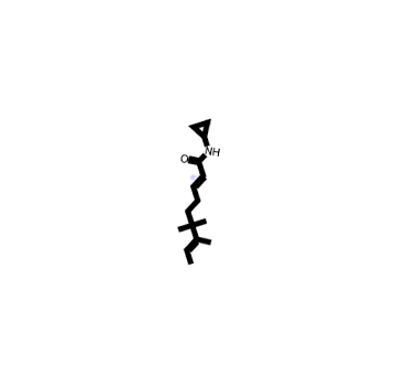 CC=C(C)C(C)(C)CC/C=C/C(=O)NC1CC1